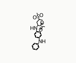 CC(CC(Nc1ccc(Nc2ccccc2)cc1)S(C)(=O)=O)S(C)(=O)=O